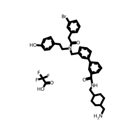 NCC1CCC(CNC(=O)c2cccc(-c3cccc(CN(CCc4ccc(O)cc4)C(=O)Cc4cccc(Br)c4)c3)c2)CC1.O=C(O)C(F)(F)F